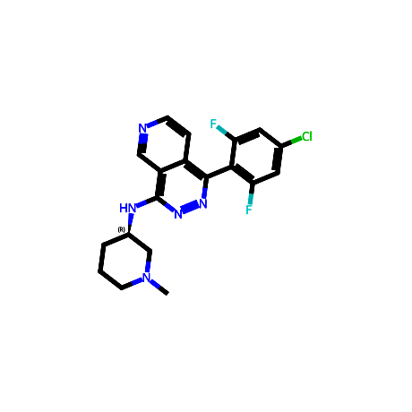 CN1CCC[C@@H](Nc2nnc(-c3c(F)cc(Cl)cc3F)c3ccncc23)C1